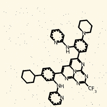 FC(F)(F)C1=NC2=NC(c3ccc(C4CCCCC4)cc3Nc3ccccn3)=CC3=CC(c4ccc(N5CCCCC5)cc4Nc4ccccn4)=NC(=N1)N32